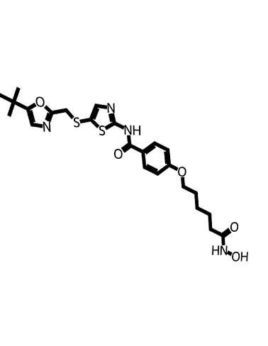 CC(C)(C)c1cnc(CSc2cnc(NC(=O)c3ccc(OCCCCCC(=O)NO)cc3)s2)o1